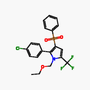 CCOCn1c(C(F)(F)F)cc(S(=O)(=O)c2ccccc2)c1-c1ccc(Cl)cc1